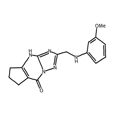 COc1cccc(NCc2nc3[nH]c4c(c(=O)n3n2)CCC4)c1